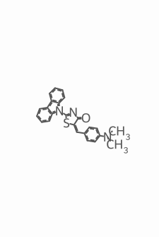 CN(C)c1ccc(/C=C2/SC(n3c4ccccc4c4ccccc43)=NC2=O)cc1